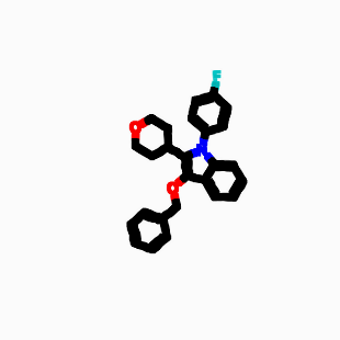 Fc1ccc(-n2c(C3CCOCC3)c(OCc3ccccc3)c3ccccc32)cc1